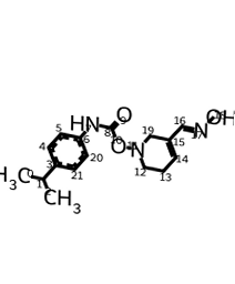 CC(C)c1ccc(NC(=O)ON2CCC=C(C=NO)C2)cc1